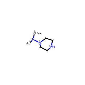 CCCCCCN(C(C)=O)N1CCNCC1